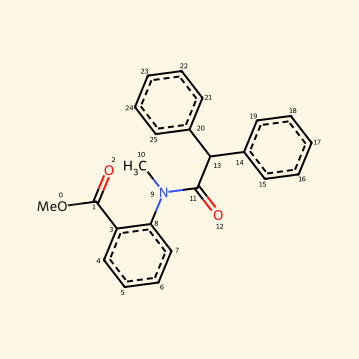 COC(=O)c1ccccc1N(C)C(=O)C(c1ccccc1)c1ccccc1